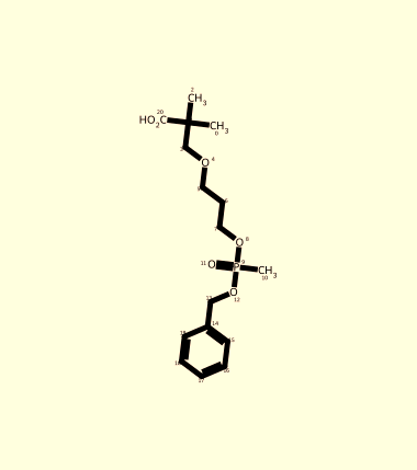 CC(C)(COCCCOP(C)(=O)OCc1ccccc1)C(=O)O